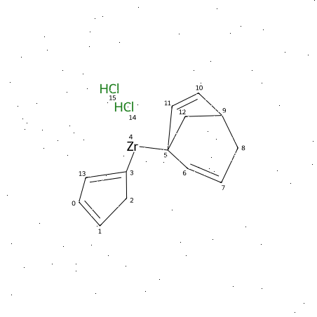 C1=CC[C]([Zr][C]23C=CCC(C=C2)C3)=C1.Cl.Cl